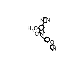 Cc1cc(-c2cnccn2)cc2c1C(=O)N(Cc1ccc(Oc3cccnc3)cc1)C2